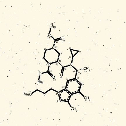 COCCCn1nc(C)c2c(C)cc([C@@H](C)N(C(=O)[C@H]3CN(C(=O)OC(C)(C)C)CCN3C(=O)OC(C)(C)C)C3CC3)cc21